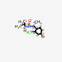 C[C@@H](N[S@@+]([O-])C(C)(C)C)c1ccc(Br)cc1Cl